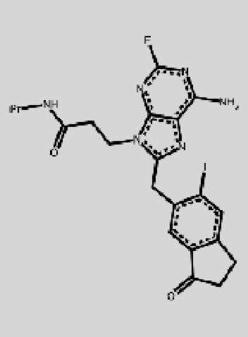 CC(C)NC(=O)CCn1c(Cc2cc3c(cc2I)CCC3=O)nc2c(N)nc(F)nc21